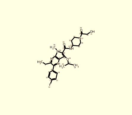 CCc1nc2c(nc1-c1ccc(F)cc1)c(OC(C)C)c(C(=O)NC1CCN(C(=O)CO)CC1)n2C